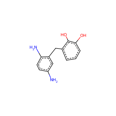 Nc1ccc(N)c(Cc2cccc(O)c2O)c1